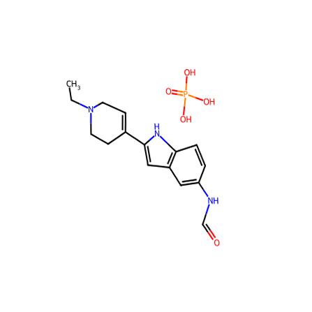 CCN1CC=C(c2cc3cc(NC=O)ccc3[nH]2)CC1.O=P(O)(O)O